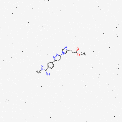 CNC(=N)c1ccc(-c2ccc(-n3cnc(CCC(=O)OC)c3)nn2)cc1